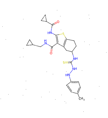 Cc1ccc(NNC(=S)NC2CCc3sc(NC(=O)C4CC4)c(C(=O)NCC4CC4)c3C2)cc1